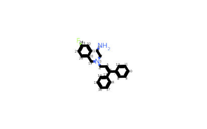 NCCN(CC=C(c1ccccc1)c1ccccc1)Cc1ccc(F)cc1